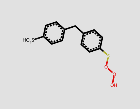 O=S(=O)(O)c1ccc(Cc2ccc(SOOO)cc2)cc1